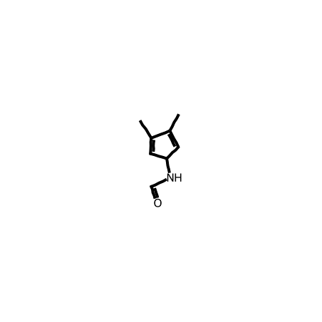 CC1=CC(NC=O)C=C1C